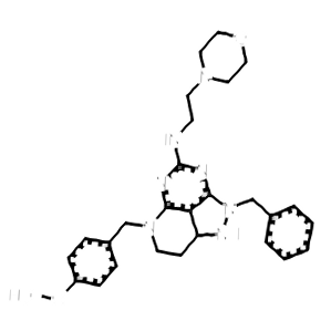 COc1ccc(CN2CCC3NN(Cc4ccccc4)c4nc(NCCN5CCOCC5)nc2c43)cc1